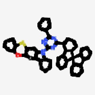 C1=CC2C(C(c3nc(-c4ccccc4)nc(-n4c5ccccc5c5cc6c(cc54)Sc4ccccc4O6)n3)=C1)c1ccccc1C21c2ccccc2-c2ccccc21